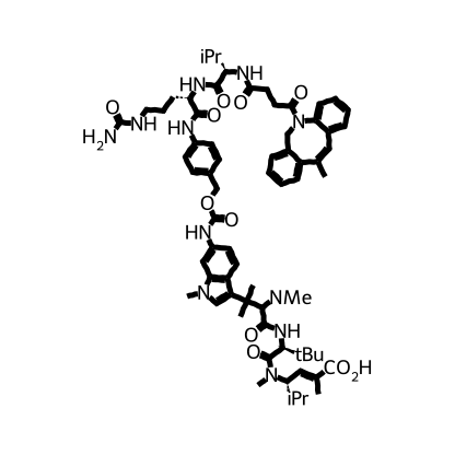 CNC(C(=O)N[C@H](C(=O)N(C)[C@H](/C=C(\C)C(=O)O)C(C)C)C(C)(C)C)C(C)(C)c1cn(C)c2cc(NC(=O)OCc3ccc(NC(=O)[C@H](CCCNC(N)=O)NC(=O)[C@@H](NC(=O)CCC(=O)N4Cc5ccccc5/C(C)=C\c5ccccc54)C(C)C)cc3)ccc12